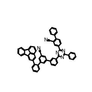 N#Cc1cc(-c2cccc(-c3nc(-c4ccccc4)nc(-c4ccc(-c5ccccc5)c(C#N)c4)n3)c2)cc(-c2ccccc2-c2cc3c4c(cccc4c2)-c2ccccc2-3)c1